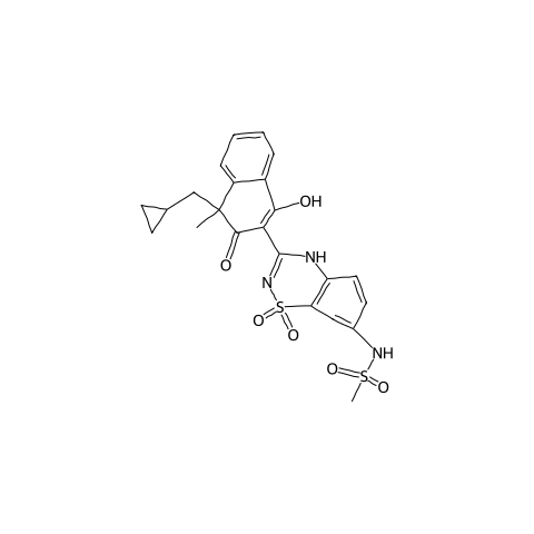 CC1(CC2CC2)C(=O)C(C2=NS(=O)(=O)c3cc(NS(C)(=O)=O)ccc3N2)=C(O)c2ccccc21